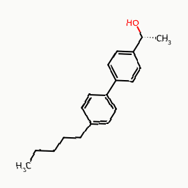 CCCCCc1ccc(-c2ccc([C@@H](C)O)cc2)cc1